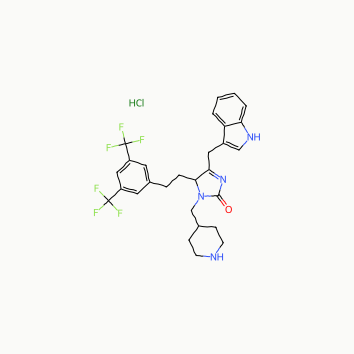 Cl.O=C1N=C(Cc2c[nH]c3ccccc23)C(CCc2cc(C(F)(F)F)cc(C(F)(F)F)c2)N1CC1CCNCC1